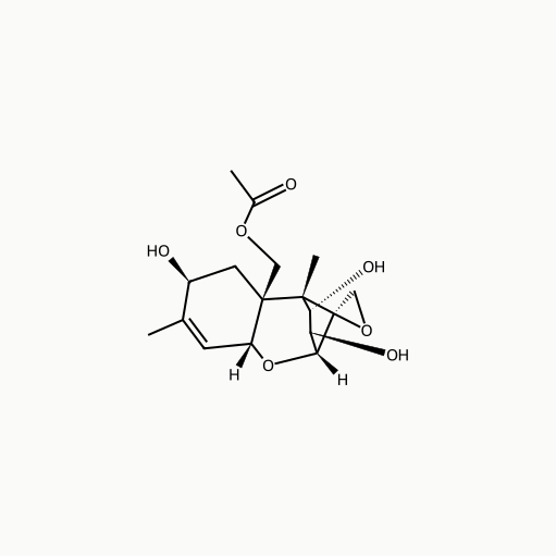 CC(=O)OC[C@]12C[C@H](O)C(C)=C[C@H]1O[C@@H]1[C@H](O)[C@@H](O)[C@@]2(C)[C@]12CO2